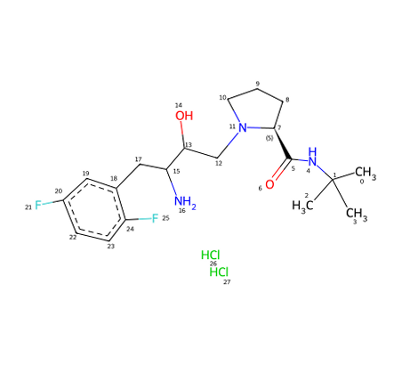 CC(C)(C)NC(=O)[C@@H]1CCCN1CC(O)C(N)Cc1cc(F)ccc1F.Cl.Cl